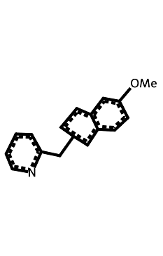 COc1ccc2cc(Cc3ccccn3)ccc2c1